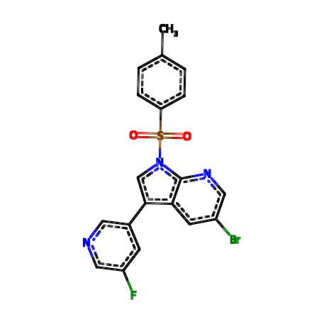 Cc1ccc(S(=O)(=O)n2cc(-c3cncc(F)c3)c3cc(Br)cnc32)cc1